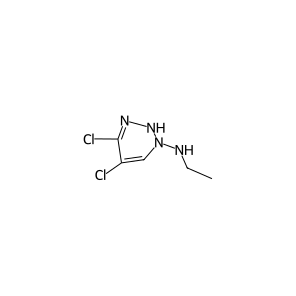 CCNN1C=C(Cl)C(Cl)=NN1